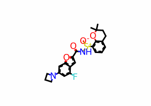 CC1(C)CCc2cccc([S+]([O-])NC(=O)c3cc4c(F)cc(N5CCC5)cc4o3)c2O1